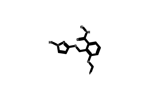 O=C(NCl)c1cccc(OCF)c1COc1ccn(S)n1